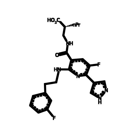 CCC[C@H](CNC(=O)c1cc(F)c(-c2cn[nH]c2)nc1NCCc1cccc(F)c1)C(=O)O